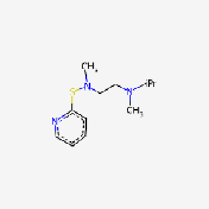 CC(C)N(C)CCN(C)Sc1ccccn1